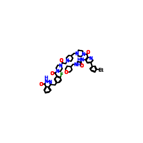 CCc1cccc(-c2cnc(C(=O)N3CCN(CC4CCN(CC(=O)N5CCN(C(=O)c6cc(Cc7n[nH]c(=O)c8ccccc78)ccc6F)CC5)CC4)CC3)c(NC(=O)CNCC3CCOCC3)c2)c1